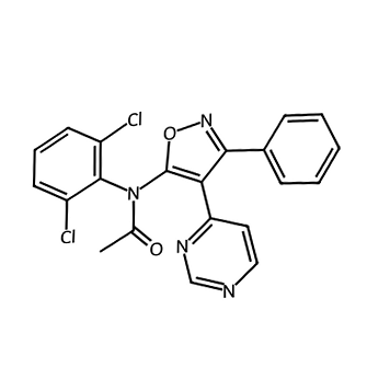 CC(=O)N(c1onc(-c2ccccc2)c1-c1ccncn1)c1c(Cl)cccc1Cl